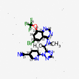 CC(c1ncnn1-c1ccc(C#N)cn1)N(C)c1ncnc2c(OC(F)(F)F)cc(Br)cc12